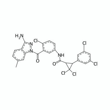 Cc1ccc2c(N)nn(C(=O)c3cc(NC(=O)C4C(c5cc(Cl)cc(Cl)c5)C4(Cl)Cl)ccc3Cl)c2c1